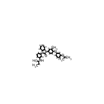 C=CC(O)Nc1cccc(-n2c(=O)n(-c3ccc(Oc4cccc(OC(C)C)c4)c(C)c3)c3cnccc32)c1